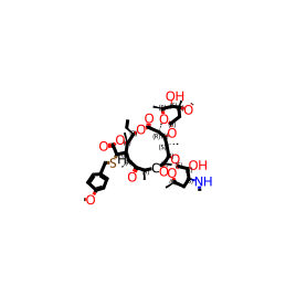 CC[C@H]1OC(=O)[C@H](C)[C@@H](O[C@H]2C[C@@](C)(OC)[C@@H](O)[C@H](C)O2)[C@H](C)[C@@H](O[C@@H]2O[C@H](C)C[C@H](NC)[C@H]2O)[C@](C)(OC)C[C@@H](C)C(=O)[C@H](C)[C@H]2C(SCc3ccc(OC)cc3)C(=O)O[C@@]21C